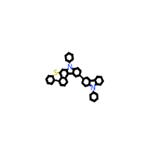 c1ccc(-n2c3ccccc3c3cc(-c4ccc5c(c4)c4c6cccc7c6c(cc4n5-c4ccccc4)Sc4ccccc4-7)ccc32)cc1